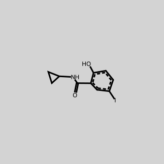 O=C(NC1CC1)c1cc(I)ccc1O